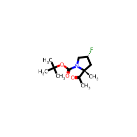 CC(=O)[C@@]1(C)C[C@@H](F)CN1C(=O)OC(C)(C)C